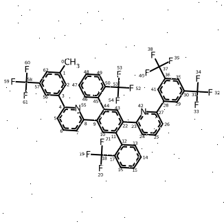 Cc1cc(-c2cccc(-c3cc(-c4ccccc4C(F)(F)F)c(-c4cccc(-c5cc(C(F)(F)F)cc(C(F)(F)F)c5)n4)cc3-c3ccccc3C(F)(F)F)n2)cc(C(F)(F)F)c1